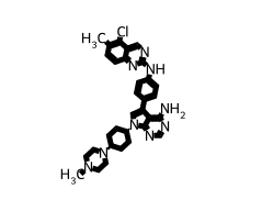 Cc1ccc2nc(Nc3ccc(-c4cn([C@H]5CC[C@H](N6CCN(C)CC6)CC5)c5ncnc(N)c45)cc3)ncc2c1Cl